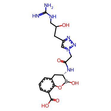 N=C(N)NCC(O)Cc1cn(CC(=O)N[C@H]2Cc3cccc(C(=O)O)c3OB2O)nn1